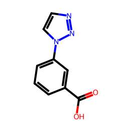 O=C(O)c1cccc(-n2ccnn2)c1